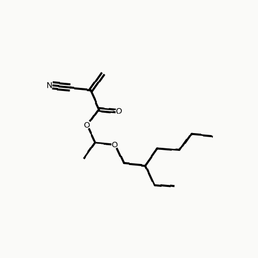 C=C(C#N)C(=O)OC(C)OCC(CC)CCCC